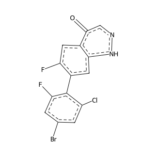 O=c1cn[nH]c2cc(-c3c(F)cc(Br)cc3Cl)c(F)cc12